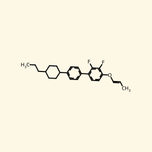 C/C=C/Oc1ccc(-c2ccc(C3CCC(CCC)CC3)cc2)c(F)c1F